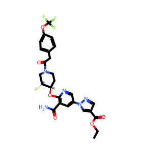 CCOC(=O)c1cnn(-c2cnc(O[C@@H]3CCN(C(=O)Cc4ccc(OC(F)(F)F)cc4)C[C@H]3F)c(C(N)=O)c2)c1